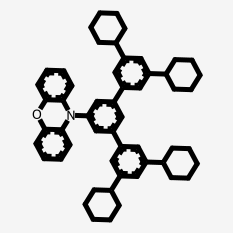 c1ccc2c(c1)Oc1ccccc1N2c1cc(-c2cc(C3CCCCC3)cc(C3CCCCC3)c2)cc(-c2cc(C3CCCCC3)cc(C3CCCCC3)c2)c1